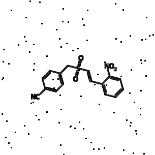 N#Cc1ccc(CS(=O)(=O)C=Cc2ccccc2[N+](=O)[O-])cc1